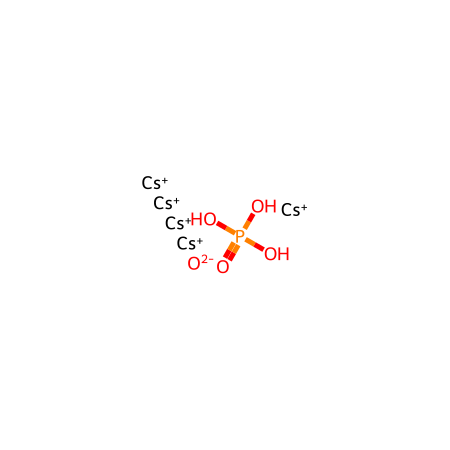 O=P(O)(O)O.[Cs+].[Cs+].[Cs+].[Cs+].[Cs+].[O-2]